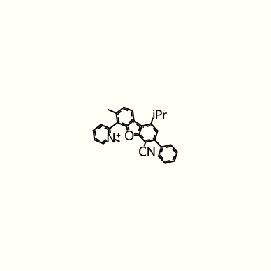 Cc1ccc2c(oc3c(C#N)c(-c4ccccc4)cc(C(C)C)c32)c1-c1cccc[n+]1C